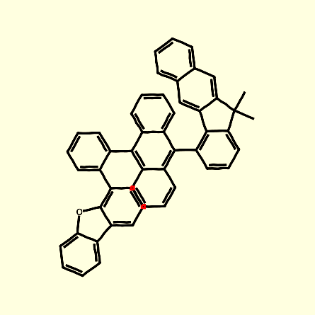 CC1(C)c2cc3ccccc3cc2-c2c(-c3c4ccccc4c(-c4ccccc4-c4cccc5c4oc4ccccc45)c4ccccc34)cccc21